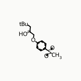 CC(C)(C)C[C@@H](O)COc1ccc(S(C)(=O)=O)cc1